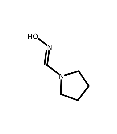 ON=CN1CCCC1